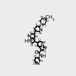 CN1CCN(c2ccc(-c3cnc4[nH]cc(-c5ccn6ncc(C(=O)Nc7cccnc7)c6c5)c4c3)cn2)CC1